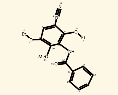 CCOc1cc([N+]#N)c(OCC)c(NC(=O)c2ccccc2)c1OC